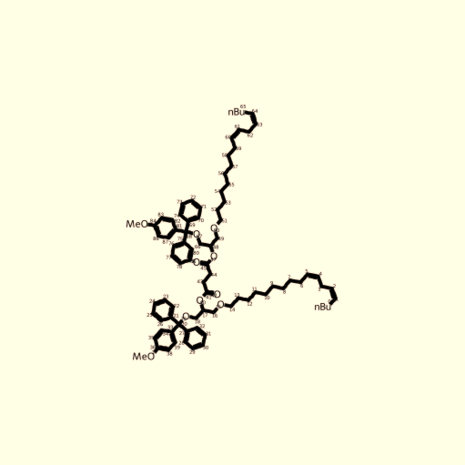 CCCC/C=C\C/C=C\CCCCCCCCCOCC(COC(c1ccccc1)(c1ccccc1)c1ccc(OC)cc1)OC(=O)CCC(=O)OC(COCCCCCCCCC/C=C\C/C=C\CCCC)COC(c1ccccc1)(c1ccccc1)c1ccc(OC)cc1